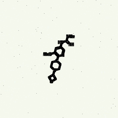 CNC(=N)Nc1cnc(N2CCN(C3COC3)CC2)c(OC)c1